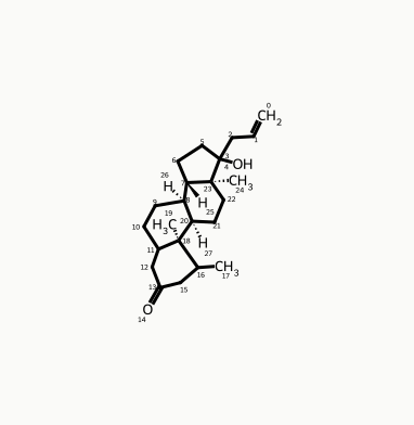 C=CCC1(O)CC[C@H]2[C@@H]3CCC4CC(=O)CC(C)[C@]4(C)[C@@H]3CC[C@@]21C